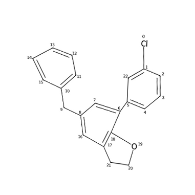 Clc1cccc(-c2cc(Cc3ccccc3)cc3c2OCC3)c1